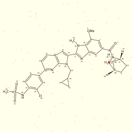 COc1cc(C(=O)N2C[C@H]3CC[C@@H]2[C@@H]3N)cc2nc(-c3cc4ccc(-c5ccc(NS(C)(=O)=O)c(Cl)c5)nc4n3CC3CC3)n(C)c12